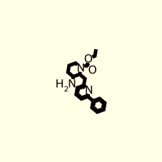 CCOC(=O)N1CCCC(N)C1Cc1cccc(-c2ccccc2)n1